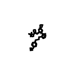 CO[C@H]1CC(CC(=O)OC(C)(C)C)[C@H](C2=NC=CC2CCCc2ccc(Br)cc2)C1